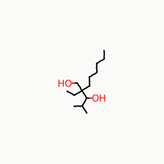 CCCCCCC(CC)(CO)C(O)C(C)C